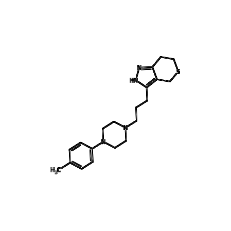 Cc1ccc(N2CCN(CCCc3[nH]nc4c3CSCC4)CC2)cc1